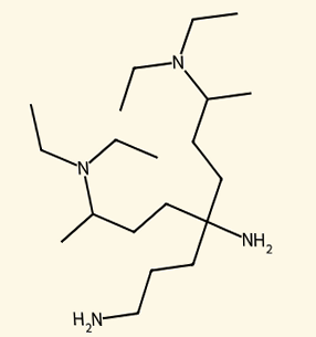 CCN(CC)C(C)CCC(N)(CCCN)CCC(C)N(CC)CC